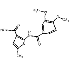 COc1ccc(C(=O)Nc2sc(C)cc2C(=O)O)cc1OC